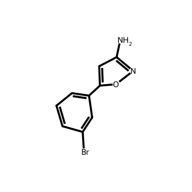 Nc1cc(-c2cccc(Br)c2)on1